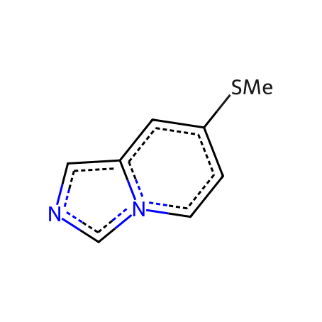 CSc1ccn2cncc2c1